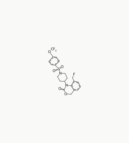 O=C1OCc2cccc(CF)c2N1C1CCN(S(=O)(=O)c2ccc(OC(F)(F)F)cc2)CC1